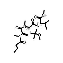 C=C(C(=O)N(C)[C@@H](CC(C)(C)OC)C(=O)N[C@H](C(=O)NC)C(C)C)N(C)C(=O)CCC